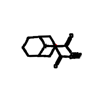 COC(=O)CN1C2CCCC1CC(C(=O)OC)C2